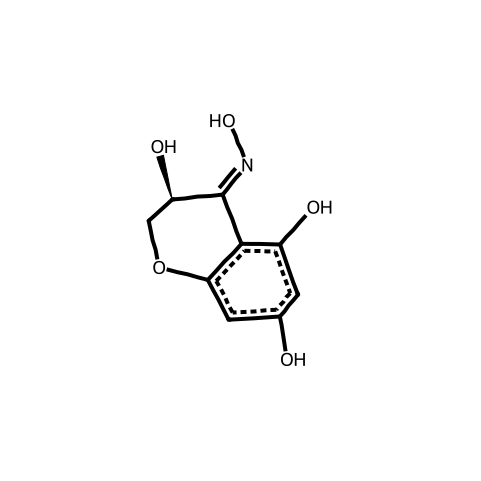 O/N=C1/c2c(O)cc(O)cc2OC[C@H]1O